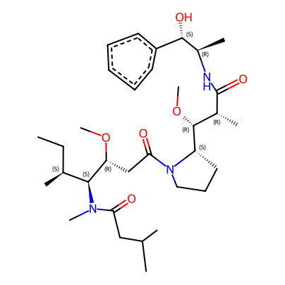 CC[C@H](C)[C@@H]([C@@H](CC(=O)N1CCC[C@H]1[C@H](OC)[C@@H](C)C(=O)N[C@H](C)[C@@H](O)c1ccccc1)OC)N(C)C(=O)CC(C)C